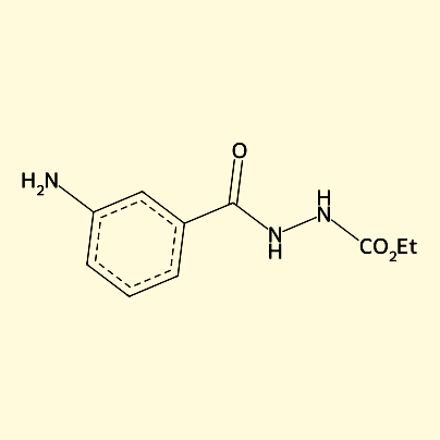 CCOC(=O)NNC(=O)c1cccc(N)c1